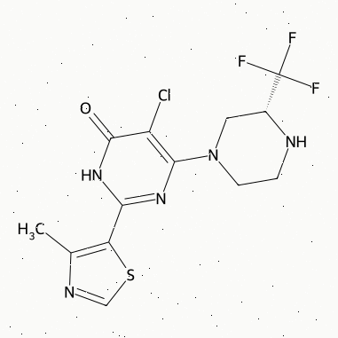 Cc1ncsc1-c1nc(N2CCN[C@@H](C(F)(F)F)C2)c(Cl)c(=O)[nH]1